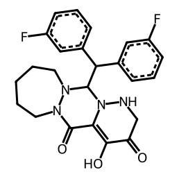 O=C1CNN2C(=C1O)C(=O)N1CCCCCN1C2C(c1cccc(F)c1)c1cccc(F)c1